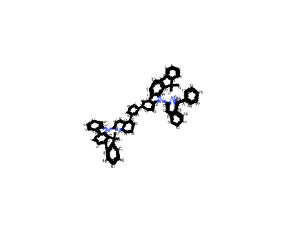 CC1(C)c2ccccc2-c2ccc3c4cc(-c5cccc(-c6cccc7nc(-n8c9ccccc9c9ccc%10c(c98)C(C)(C)c8ccccc8-%10)ccc67)c5)ccc4n(-c4cc5ccccc5c(-c5ccccc5)n4)c3c21